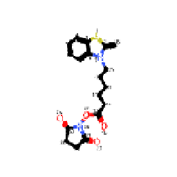 C=C1Sc2ccccc2N1CCCCCC(=O)ON1C(=O)CCC1=O